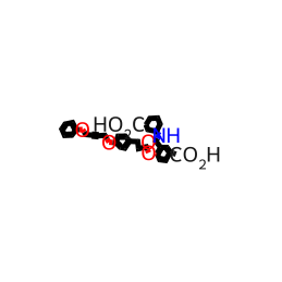 O=C(O)c1ccc(OCCCc2ccc(OCC#CCOc3ccccc3)cc2)c(C(=O)NC2CCCC(C(=O)O)C2)c1